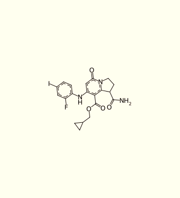 NC(=O)C1CCn2c1c(C(=O)OCC1CC1)c(Nc1ccc(I)cc1F)cc2=O